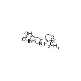 CC1(C)C=C(c2cc3cc(C(=O)O)[nH]c3cn2)CCO1